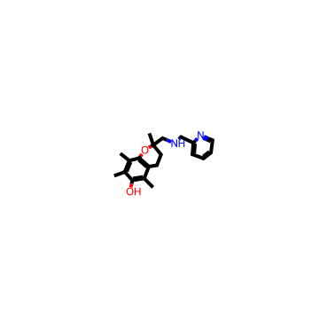 Cc1c(C)c2c(c(C)c1O)CCC(C)(CNCc1ccccn1)O2